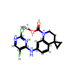 CC(C)(C)OC(=O)N1CCC2(CC2)c2ccc(Nc3nc(Cl)ncc3F)cc21